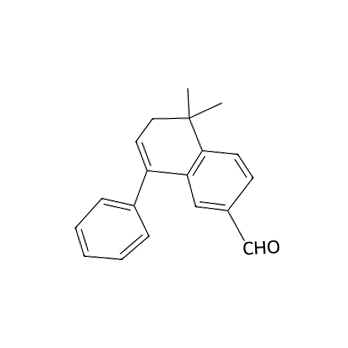 CC1(C)CC=C(c2ccccc2)c2cc(C=O)ccc21